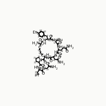 CCc1ccc(CC2NC(=O)C(N)CSSCC(C(=O)N3CCCC3C(=O)NC(CC(C)C)C(=O)NCC(N)=O)NC(=O)C(CC(N)=O)NC(=O)C(CCC(N)=O)NC(=O)C(C(C)CC)NC2=O)cc1